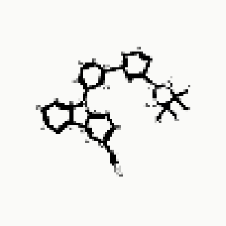 CC1(C)OB(c2cccc(-c3cccc(-n4c5ccccc5c5cc(C#N)ccc54)c3)c2)OC1(C)C